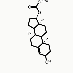 CCCCCCC(=O)O[C@H]1CCC2[C@@H]3CCC4=CC(O)CC[C@]4(C)C3CC[C@@]21C